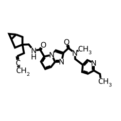 C=C=CCC1(CNC(=O)c2cccc3nc(C(=O)N(C)Cc4ccc(CC)nc4)cn23)CC2CC2C1